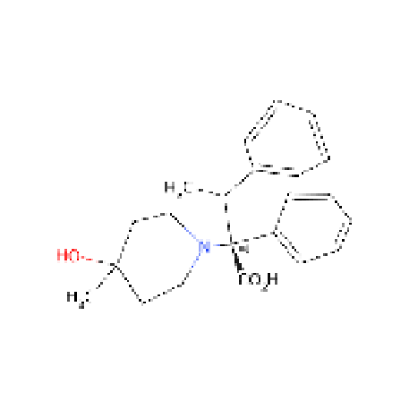 CC(c1ccccc1)[C@](C(=O)O)(c1ccccc1)N1CCC(C)(O)CC1